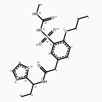 CCCOc1ccc(CC(=O)NC(CC)c2nccs2)cc1S(=O)(=O)NC(=O)NC